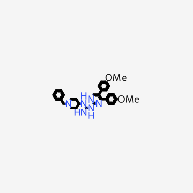 COc1ccc(-c2cnc(NC(=N)NC3CCN(Cc4ccccc4)CC3)nc2-c2ccc(OC)cc2)cc1